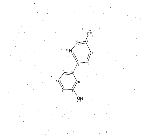 Oc1[c]ccc(-c2ccc(C(F)(F)F)cn2)c1